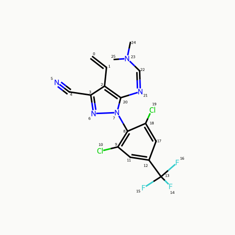 C=Cc1c(C#N)nn(-c2c(Cl)cc(C(F)(F)F)cc2Cl)c1/N=C\N(C)C